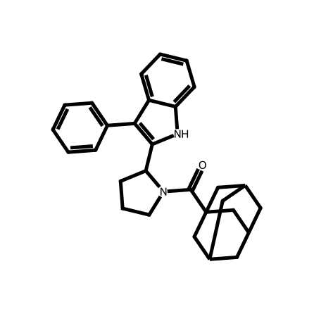 O=C(N1CCCC1c1[nH]c2ccccc2c1-c1ccccc1)C12CC3CC(CC(C3)C1)C2